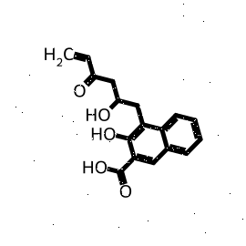 C=CC(=O)CC(O)Cc1c(O)c(C(=O)O)cc2ccccc12